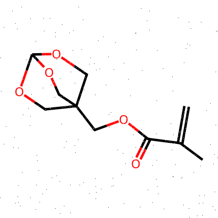 C=C(C)C(=O)OCC12COC(OC1)OC2